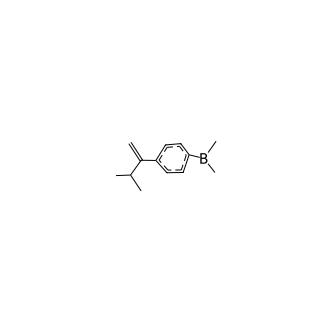 C=C(c1ccc(B(C)C)cc1)C(C)C